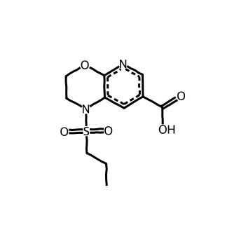 CCCS(=O)(=O)N1CCOc2ncc(C(=O)O)cc21